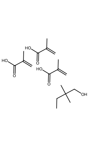 C=C(C)C(=O)O.C=C(C)C(=O)O.C=C(C)C(=O)O.CCC(C)(C)CO